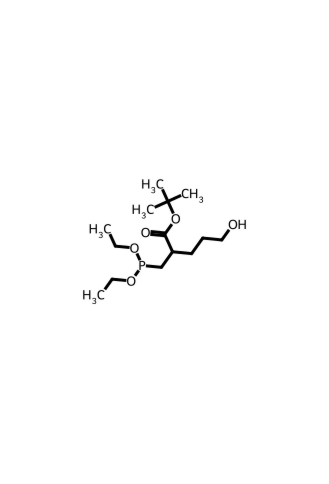 CCOP(CC(CCCO)C(=O)OC(C)(C)C)OCC